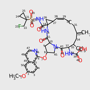 COc1ccc2c(OC3CC4C(=O)NC5(C(=O)NS(=O)(=O)C6(CF)CC6)CC5C=CCCC(C)CC(C)C(NC(=O)O)C(=O)N4C3)nccc2c1